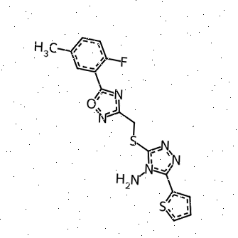 Cc1ccc(F)c(-c2nc(CSc3nnc(-c4cccs4)n3N)no2)c1